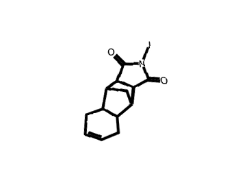 O=C1C2C3CC(C4CC=CCC43)C2C(=O)N1I